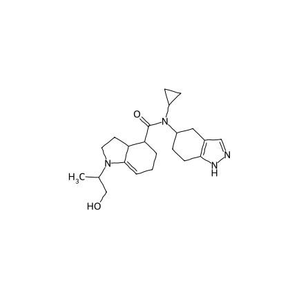 CC(CO)N1CCC2C1=CCCC2C(=O)N(C1CC1)C1CCc2[nH]ncc2C1